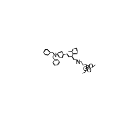 CCOP(=O)(CCC/N=C/C=C(/C=Cc1ccc(N(Cc2ccccc2)Cc2ccccc2)cc1)c1ccccc1C)OCC